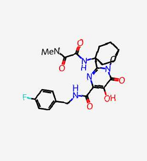 CNC(=O)C(=O)NC12CCC(CC1)Cn1c2nc(C(=O)NCc2ccc(F)cc2)c(O)c1=O